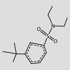 CCN(CC)S(=O)(=O)c1cccc(C(C)(C)C)c1